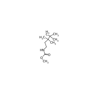 COC(=O)NCCC(C)(C)C(C)(C)C